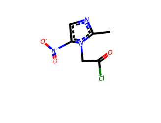 Cc1ncc([N+](=O)[O-])n1CC(=O)Cl